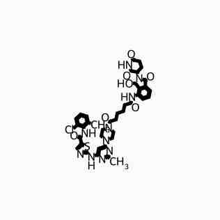 Cc1nc(Nc2ncc(C(=O)Nc3c(C)cccc3Cl)s2)cc(N2CCN(C(=O)CCCCC(=O)Nc3cccc4c3C(O)N(C3CCC(=O)NC3=O)C4=O)CC2)n1